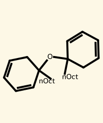 CCCCCCCCC1(OC2(CCCCCCCC)C=CC=CC2)C=CC=CC1